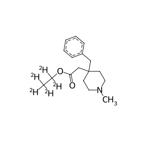 [2H]C([2H])([2H])C([2H])([2H])OC(=O)CC1(Cc2ccccc2)CCN(C)CC1